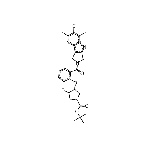 Cc1nc2c3c(nn2c(C)c1Cl)CN(C(=O)c1ccccc1OC1CN(C(=O)OC(C)(C)C)CC1F)C3